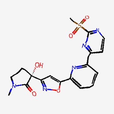 CN1CC[C@@](O)(c2cc(-c3cccc(-c4ccnc(S(C)(=O)=O)n4)n3)on2)C1=O